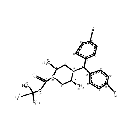 C[C@H]1CN(C(c2ccc(F)cc2)c2ccc(F)cc2)[C@@H](C)CN1C(=O)OC(C)(C)C